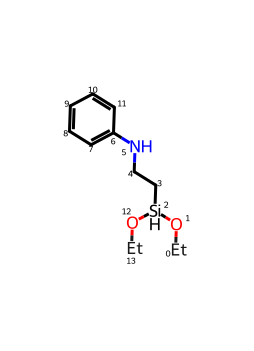 CCO[SiH](CCNc1ccccc1)OCC